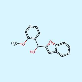 COc1ccccc1C(O)c1cc2ccccc2o1